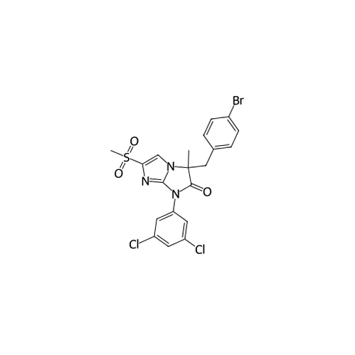 CC1(Cc2ccc(Br)cc2)C(=O)N(c2cc(Cl)cc(Cl)c2)c2nc(S(C)(=O)=O)cn21